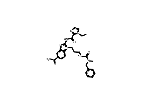 CCn1ccnc1C(=O)Nc1nc2cc(C(N)=O)ccc2n1CCCNC(=O)N(C)Cc1ccccc1